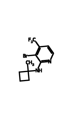 CC1(Nc2nccc(C(F)(F)F)c2Br)CCC1